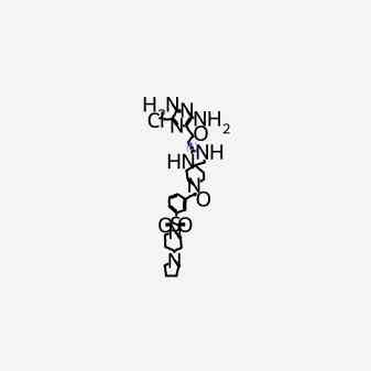 Nc1nc(N)c(C(=O)/C=C2\NCC3(CCN(C(=O)c4cccc(S(=O)(=O)N5CCC(N6CCCC6)CC5)c4)CC3)N2)nc1Cl